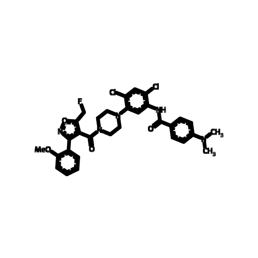 COc1ccccc1-c1noc(CF)c1C(=O)N1CCN(c2cc(NC(=O)c3ccc(N(C)C)cc3)c(Cl)cc2Cl)CC1